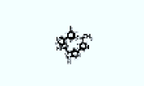 CN(C)c1cncc(-c2cc3c(-c4nc5c(-c6cccc(F)c6)cncc5[nH]4)n[nH]c3cn2)c1